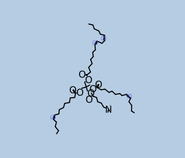 CCCC/C=C\CCCCCCCC(=O)OCC(COC(=O)CCCCCCC/C=C\C/C=C\CCCCC)(COC(=O)CCCCCCC/C=C\CCCC)COC(=O)CCCCN(C)C